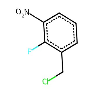 O=[N+]([O-])c1cccc(CCl)c1F